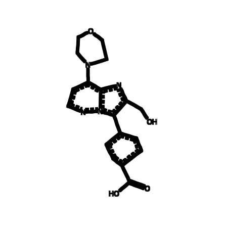 O=C(O)c1ccc(-c2c(CO)nc3c(N4CCOCC4)ccnn23)cc1